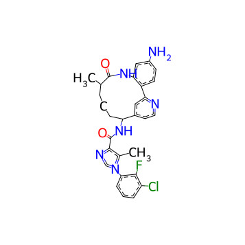 Cc1c(C(=O)NC2CCCC(C)C(=O)Nc3cc(N)ccc3-c3cc2ccn3)ncn1-c1cccc(Cl)c1F